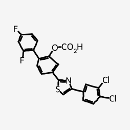 O=C(O)Oc1cc(-c2nc(-c3ccc(Cl)c(Cl)c3)cs2)ccc1-c1ccc(F)cc1F